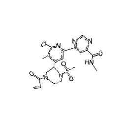 C=CC(=O)N1CCN(S(C)(=O)=O)[C@@H](c2cc(-c3cc(C(=O)NC)ncn3)nc(Cl)c2C)C1